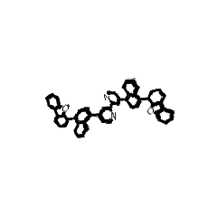 C1=Cc2c(oc3ccccc23)C(c2ccc(-c3ccnc(-c4cc(-c5ccc(-c6cccc7c6oc6ccccc67)c6ccccc56)ccn4)c3)c3ccccc23)C1